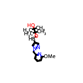 COc1cccc(Cn2cc(BOC(C)(C)C(C)(C)O)cn2)n1